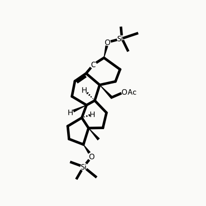 CC(=O)OC[C@]12CC[C@H](O[Si](C)(C)C)CC1=CC[C@@H]1[C@@H]2CC[C@]2(C)[C@@H](O[Si](C)(C)C)CC[C@@H]12